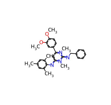 COc1ccc(-c2cc(=Nc3c(C)cc(C)cc3C)n(C)c(=NCc3ccccc3)n2C)cc1OC